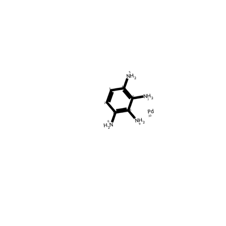 Nc1ccc(N)c(N)c1N.[Pd]